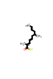 CCC/C=C/CC(C)C/C=C/C=C(\C)C(=O)S